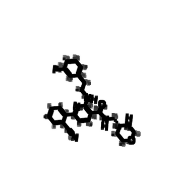 N#Cc1ccccc1-c1ccc(C(=O)NC[C@H]2CCOCN2)c(NCCc2cccc(F)c2)n1